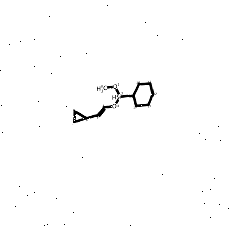 CO[SiH](OC=CC1CC1)C1CCCCC1